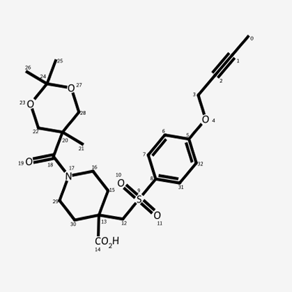 CC#CCOc1ccc(S(=O)(=O)CC2(C(=O)O)CCN(C(=O)C3(C)COC(C)(C)OC3)CC2)cc1